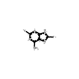 Nc1nc(F)nc2[nH]c(F)nc12